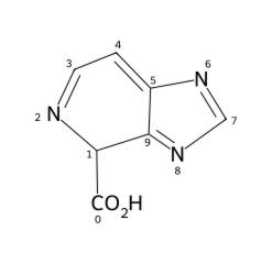 O=C(O)C1N=CC=C2N=CN=C21